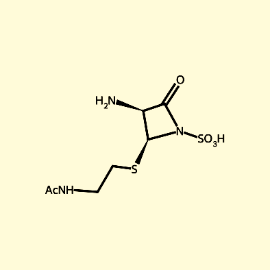 CC(=O)NCCS[C@H]1[C@@H](N)C(=O)N1S(=O)(=O)O